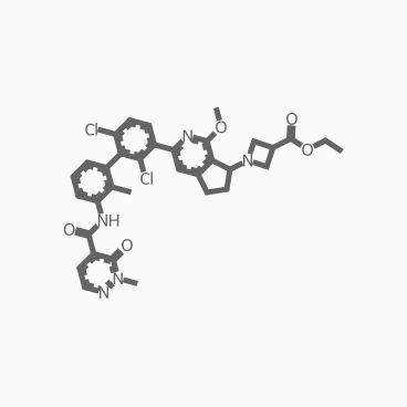 CCOC(=O)C1CN(C2CCc3cc(-c4ccc(Cl)c(-c5cccc(NC(=O)c6ccnn(C)c6=O)c5C)c4Cl)nc(OC)c32)C1